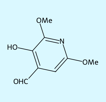 COc1cc(C=O)c(O)c(OC)n1